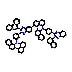 c1cc(-c2nc3ccc(-c4ccc5cccc6c5c4-c4ccc5ccccc5c4N6c4ccc(-c5nc6ccccc6nc5-c5cccc6ccccc56)cc4)cc3nc2-c2cc3ccccc3c3ccccc23)cc(N2c3c(ccc4ccccc34)-c3cccc4cccc2c34)c1